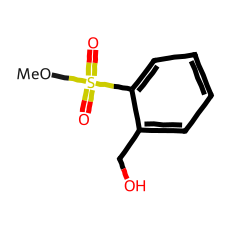 COS(=O)(=O)c1ccccc1CO